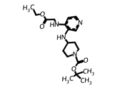 CCOC(=O)CNc1ccncc1NC1CCN(C(=O)OC(C)(C)C)CC1